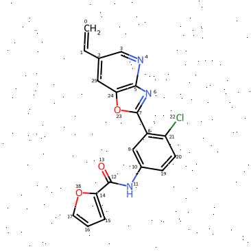 C=Cc1cnc2nc(-c3cc(NC(=O)c4ccco4)ccc3Cl)oc2c1